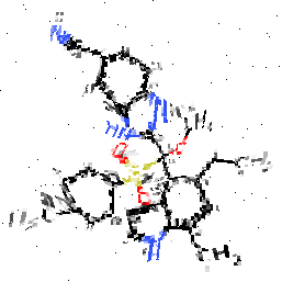 CCc1cc(C)c2[nH]ccc2c1C(OC)(c1nc2ccc(C#N)cc2[nH]1)S(=O)(=O)c1ccc(C)cc1